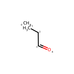 C.CCC=O